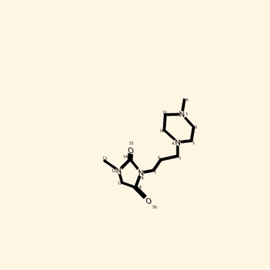 CN1CCN(CCCN2C(=O)CN(C)C2=O)CC1